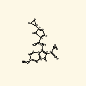 COc1ccc2c(NC(=O)c3ccc(C4CC4)o3)c(C(N)=O)oc2c1